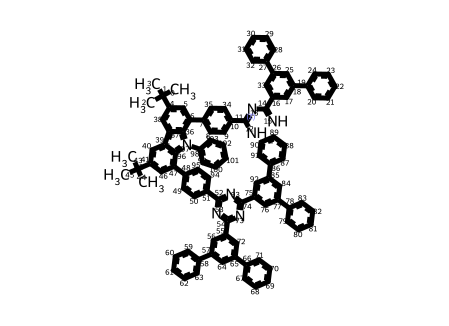 CC(C)(C)c1cc(-c2ccc(/C(N)=N/C(=N)c3cc(-c4ccccc4)cc(-c4ccccc4)c3)cc2)c2c(c1)c1cc(C(C)(C)C)cc(-c3ccc(-c4nc(-c5cc(-c6ccccc6)cc(-c6ccccc6)c5)nc(-c5cc(-c6ccccc6)cc(-c6ccccc6)c5)n4)cc3)c1n2-c1ccccc1